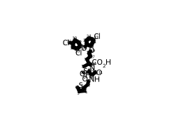 O=C(Cc1cccs1)NC1C(=O)N2C(C(=O)O)=C(C/C=C/Oc3cc(Cl)ccc3Oc3ccc(Cl)cc3Cl)C[S+]([O-])[C@H]12